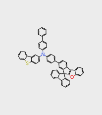 c1ccc(-c2ccc(N(c3ccc(-c4ccc5c(c4)C4(c6ccccc6-c6ccccc64)c4oc6ccccc6c4-5)cc3)c3ccc4sc5ccccc5c4c3)cc2)cc1